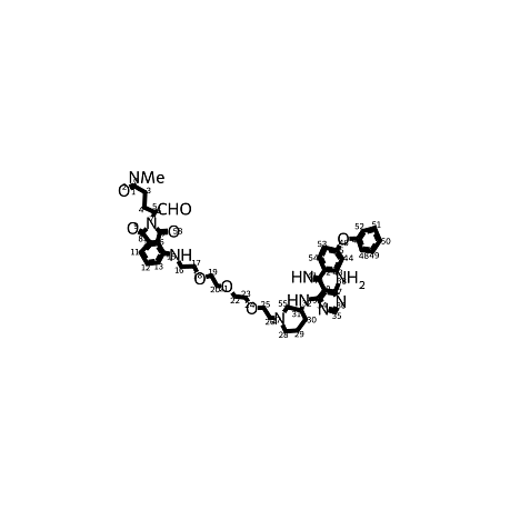 CNC(=O)CCC(C=O)N1C(=O)c2cccc(NCCOCCOCCOCCN3CCCC(Nc4ncnc(N)c4C(=N)c4ccc(Oc5ccccc5)cc4)C3)c2C1=O